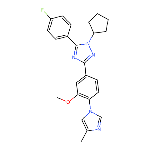 COc1cc(-c2nc(-c3ccc(F)cc3)n(C3CCCC3)n2)ccc1-n1cnc(C)c1